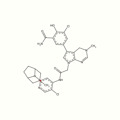 CN1C=Nc2c(c(-c3cc(Cl)c(O)c(C(N)=O)c3)cn2CC(=O)Nc2cc(N3C4CCC3CN(C)C4)ncc2Cl)C1